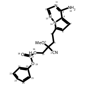 COC(C#N)(CCc1ccc2c(N)ncnn12)CO[PH](=O)Oc1ccccc1